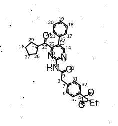 CCS(=O)(=O)c1ccc(CC(=O)Nc2ncc(-c3ccccc3)c(C(=O)C3CCCC3)n2)cc1